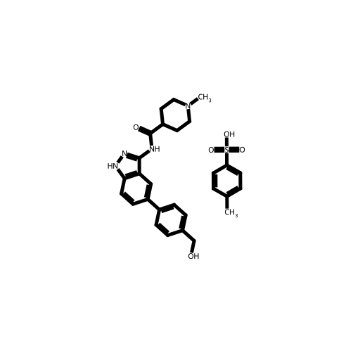 CN1CCC(C(=O)Nc2n[nH]c3ccc(-c4ccc(CO)cc4)cc23)CC1.Cc1ccc(S(=O)(=O)O)cc1